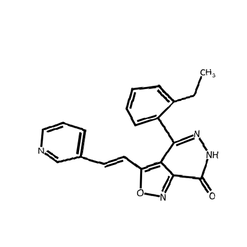 CCc1ccccc1-c1n[nH]c(=O)c2noc(C=Cc3cccnc3)c12